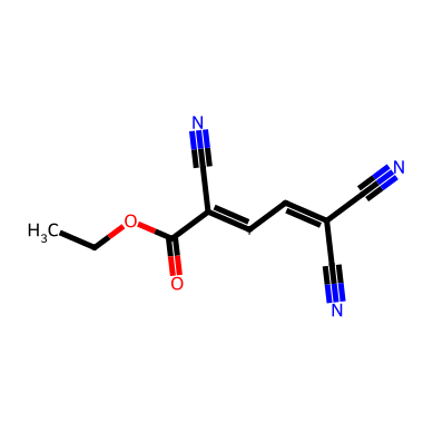 CCOC(=O)/C(=[C]/C=C(C#N)C#N)C#N